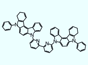 C1=Cc2c(n(-c3ccccc3)c3ccc4c(c5ccccc5n4-c4cccc(-c5cccc(-n6c7ccccc7c7c8c9c(n(-c%10ccccc%10)c8ccc76)CCC=C9)n5)n4)c23)CC1